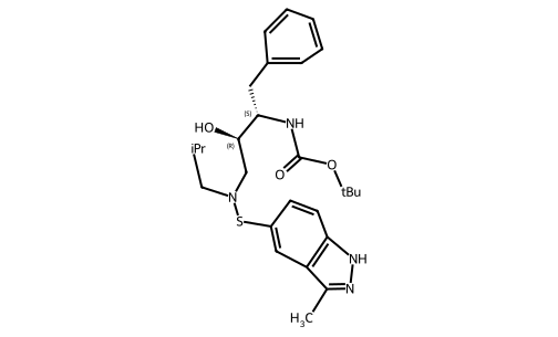 Cc1n[nH]c2ccc(SN(CC(C)C)C[C@@H](O)[C@H](Cc3ccccc3)NC(=O)OC(C)(C)C)cc12